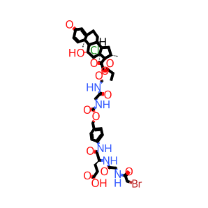 CCC(=O)O[C@]1(C(=O)COCNC(=O)CNC(=O)OCc2ccc(NC(=O)[C@H](CCC(=O)O)NC(=O)CNC(=O)CBr)cc2)[C@@H](C)CC2[C@@H]3CCC4=CC(=O)C=C[C@]4(C)[C@@]3(Cl)[C@@H](O)C[C@@]21C